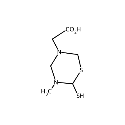 CN1CN(CC(=O)O)CSC1S